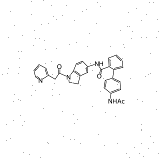 CC(=O)Nc1ccc(-c2ccccc2C(=O)Nc2ccc3c(c2)CCN3C(=O)Cc2ccccn2)cc1